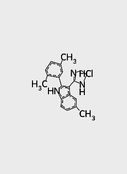 Cc1ccc(C)c(-c2[nH]c3ccc(C)cc3c2C2=NCCN2)c1.Cl